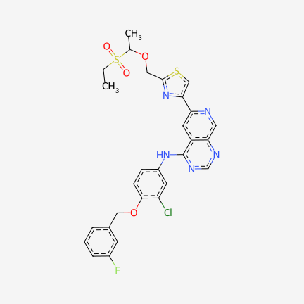 CCS(=O)(=O)C(C)OCc1nc(-c2cc3c(Nc4ccc(OCc5cccc(F)c5)c(Cl)c4)ncnc3cn2)cs1